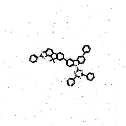 CC1(C)c2cc(-c3ccc4c(c3)c3cc(-c5ccccc5)ccc3n4-c3nc(-c4ccccc4)nc(-c4ccccc4)n3)ccc2-c2ccc3sc(-c4ccccc4)nc3c21